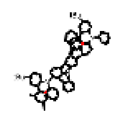 Cc1ccc(-c2cc(C(C)(C)C)ccc2N(c2ccccc2)c2ccc3c4cc5c(cc4n4c6ccccc6c2c34)c2ccc(N(c3ccccc3)c3ccc(C(C)(C)C)cc3-c3ccc(C)cc3C)c3c4ccccc4n5c23)c(C)c1